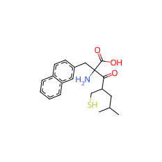 CC(C)CC(CS)C(=O)C(N)(Cc1ccc2ccccc2c1)C(=O)O